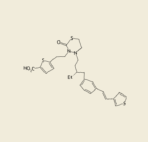 CCC(CCN1CCSC(=O)N1CCc1ccc(C(=O)O)s1)Cc1cccc(/C=C/c2ccsc2)c1